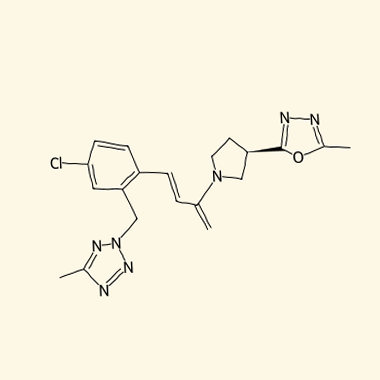 C=C(/C=C/c1ccc(Cl)cc1Cn1nnc(C)n1)N1CC[C@@H](c2nnc(C)o2)C1